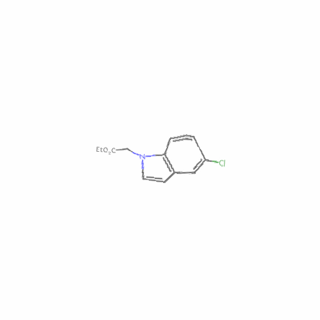 CCOC(=O)Cn1ccc2cc(Cl)ccc21